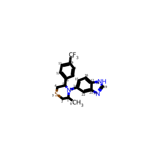 CC1[CH]SCC(c2ccc(C(F)(F)F)cc2)N1c1ccc2[nH]cnc2c1